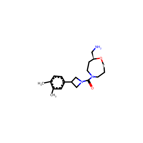 Cc1ccc(C2CN(C(=O)N3CCCO[C@H](CN)CC3)C2)cc1C